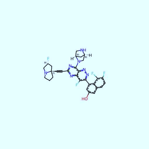 Oc1cc(-c2nnc3c(N4C[C@H]5C[C@@H]4CN5)nc(C#C[C@@]45CCCN4C[C@H](F)C5)nc3c2F)c2c(F)c(F)ccc2c1